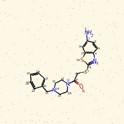 Nc1ccc2nc(SCC(=O)N3CCN(Cc4ccccc4)CC3)sc2c1